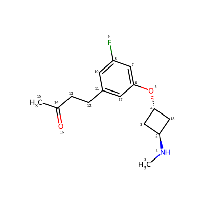 CN[C@H]1C[C@H](Oc2cc(F)cc(CCC(C)=O)c2)C1